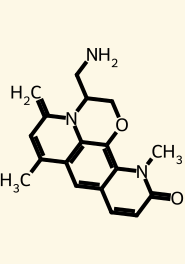 C=C1C=C(C)c2cc3ccc(=O)n(C)c3c3c2N1C(CN)CO3